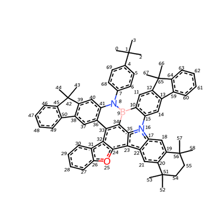 CC(C)(C)c1ccc(N2B3c4cc5c(cc4-n4c6cc7c(cc6c6c8oc9ccccc9c8c(c3c64)-c3cc4c(cc32)C(C)(C)c2ccccc2-4)C(C)(C)CCC7(C)C)-c2ccccc2C5(C)C)cc1